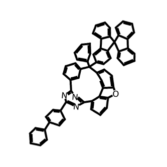 c1ccc(-c2ccc(-c3nc4nc(n3)-c3cccc5oc6ccc(cc6c35)C(c3ccccc3)(c3ccc5c(c3)-c3ccccc3C53c5ccccc5-c5ccccc53)c3cccc-4c3)cc2)cc1